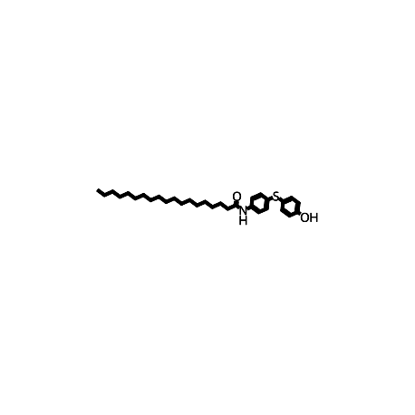 CCCCCCCCCCCCCCCCCCC(=O)Nc1ccc(Sc2ccc(O)cc2)cc1